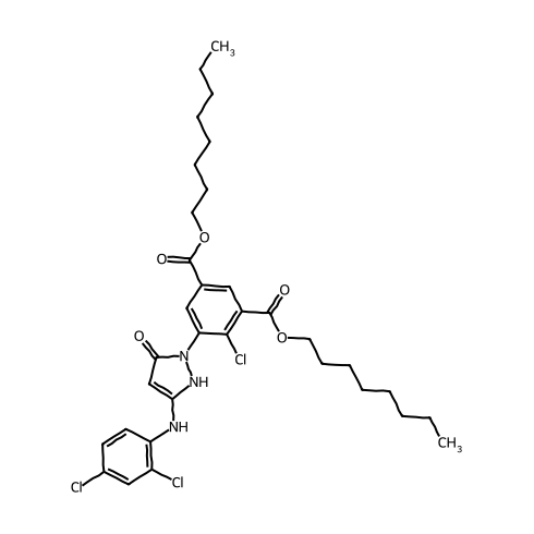 CCCCCCCCOC(=O)c1cc(C(=O)OCCCCCCCC)c(Cl)c(-n2[nH]c(Nc3ccc(Cl)cc3Cl)cc2=O)c1